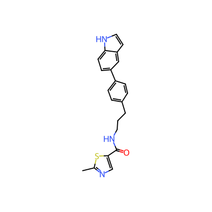 Cc1ncc(C(=O)NCCCc2ccc(-c3ccc4[nH]ccc4c3)cc2)s1